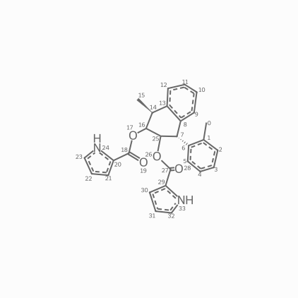 Cc1ccccc1[C@H]1c2ccccc2[C@H](C)C(OC(=O)c2ccc[nH]2)C1OC(=O)c1ccc[nH]1